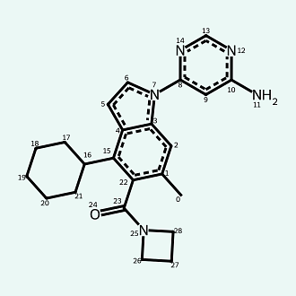 Cc1cc2c(ccn2-c2cc(N)ncn2)c(C2CCCCC2)c1C(=O)N1CCC1